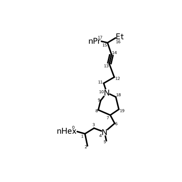 CCCCCCC(C)CN(C)CC1CCN(CCC#CC(CC)CCC)CC1